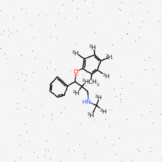 [2H]c1c([2H])c([2H])c(OC(c2ccccc2)C([2H])([2H])CNC([2H])([2H])[2H])c(C)c1[2H]